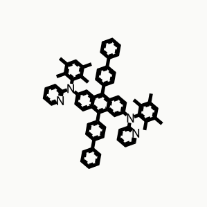 Cc1cc(C)c(C)c(N(c2ccc3c(-c4ccc(-c5ccccc5)cc4)c4cc(N(c5ccccn5)c5c(C)c(C)cc(C)c5C)ccc4c(-c4ccc(-c5ccccc5)cc4)c3c2)c2ccccn2)c1C